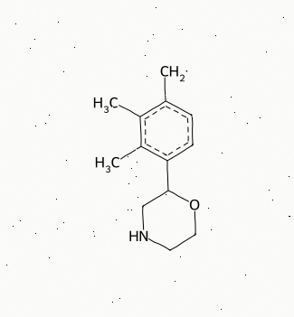 [CH2]c1ccc(C2CNCCO2)c(C)c1C